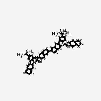 CC(C)c1cc2c3cc4ccccc4cc3n3c2c(c1)n1c2cc4ccc(-c5ccc6cc7c(cc6c5)c5cc(C(C)(C)C)cc6c5n7c5nc7cc8ccccc8cc7n65)cc4cc2nc13